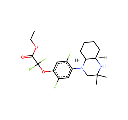 CCOC(=O)C(F)(F)Oc1cc(F)c(N2CC(C)(C)N[C@@H]3CCCC[C@@H]32)cc1F